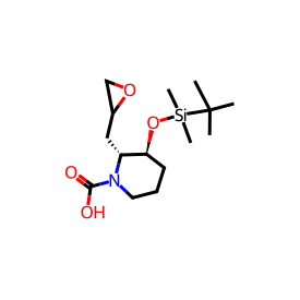 CC(C)(C)[Si](C)(C)O[C@H]1CCCN(C(=O)O)[C@@H]1CC1CO1